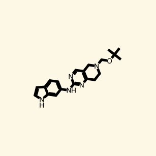 CC(C)(C)OCN1CCc2nc(Nc3ccc4cc[nH]c4c3)ncc2C1